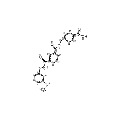 COc1cccc(CNC(=O)c2cccc(C(=O)OCc3ccc(C(=O)O)cc3)c2)c1